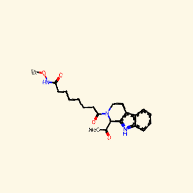 CCONC(=O)CCCCCCC(=O)N1CCc2c([nH]c3ccccc23)C1C(=O)OC